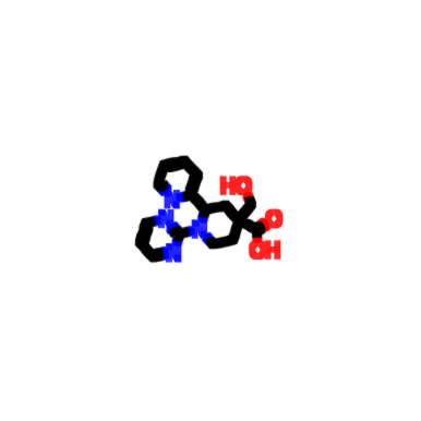 O=C(O)C1(CO)CCN(c2ncccn2)C(c2ccccn2)C1